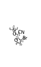 C[Si](C)(C)OC(C#N)c1occc1Br